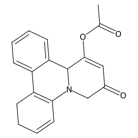 CC(=O)OC1=CC(=O)CN2C3=C(CCC=C3)c3ccccc3C12